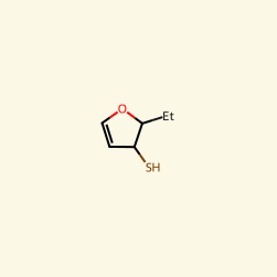 CCC1OC=CC1S